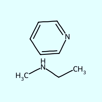 CCNC.c1ccncc1